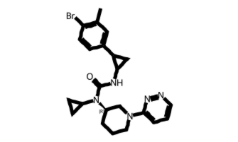 Cc1cc(C2CC2NC(=O)N(C2CC2)[C@@H]2CCCN(c3cccnn3)C2)ccc1Br